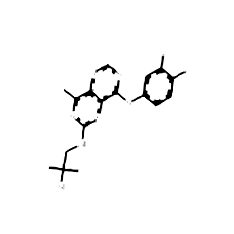 Cc1nc(NCC(C)(C)N)nc2c(Nc3ccc(F)c(Cl)c3)ncnc12